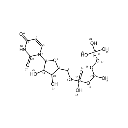 O=c1ccn(C2OC(COP(=O)(O)OP(O)OO[PH](O)(O)O)C(O)C2O)c(=O)[nH]1